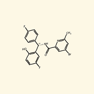 Cc1cc(Br)cc(C(=O)N[C@@H](c2ccc(F)cc2)c2cc(F)ccc2O)n1